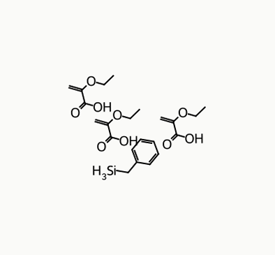 C=C(OCC)C(=O)O.C=C(OCC)C(=O)O.C=C(OCC)C(=O)O.[SiH3]Cc1ccccc1